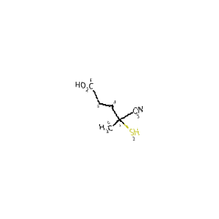 CC(S)(C#N)CCC(=O)O